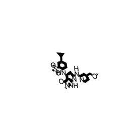 COCc1ccnc(Nc2cc(Nc3ccc(C4CC4)cc3S(C)(=O)=O)c3c(=O)n(C)[nH]c3n2)c1